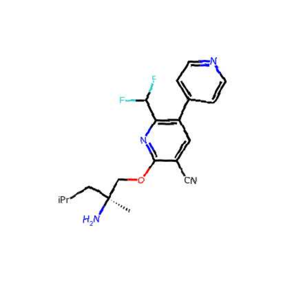 CC(C)C[C@](C)(N)COc1nc(C(F)F)c(-c2ccncc2)cc1C#N